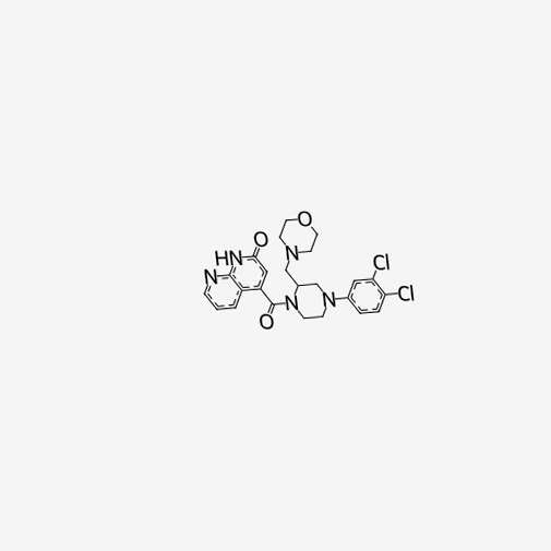 O=C(c1cc(=O)[nH]c2ncccc12)N1CCN(c2ccc(Cl)c(Cl)c2)CC1CN1CCOCC1